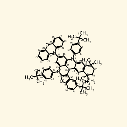 CC(C)(C)c1ccc(N2c3cc4c(cc3B3c5c2cc(N2c6ccccc6Oc6ccccc62)cc5N(c2ccc(C(C)(C)C)cc2)c2oc5ccc(C(C)(C)C)cc5c23)C(C)(C)CCC4(C)C)cc1